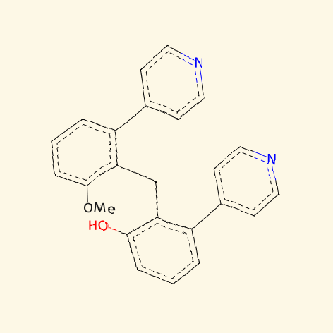 COc1cccc(-c2ccncc2)c1Cc1c(O)cccc1-c1ccncc1